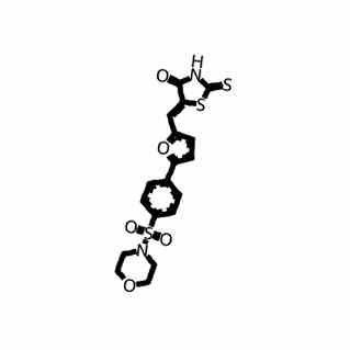 O=C1NC(=S)S/C1=C\c1ccc(-c2ccc(S(=O)(=O)N3CCOCC3)cc2)o1